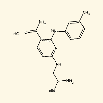 CCCCC(N)CNc1ccc(C(N)=O)c(Nc2cccc(C)c2)n1.Cl